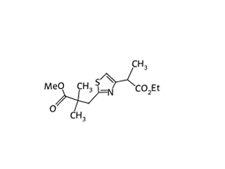 CCOC(=O)C(C)c1csc(CC(C)(C)C(=O)OC)n1